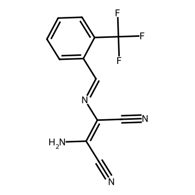 N#C/C(N)=C(\C#N)N=Cc1ccccc1C(F)(F)F